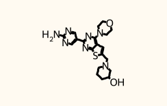 Nc1ncc(-c2nc(N3CCOCC3)c3cc(CN4CCCC(O)C4)sc3n2)cn1